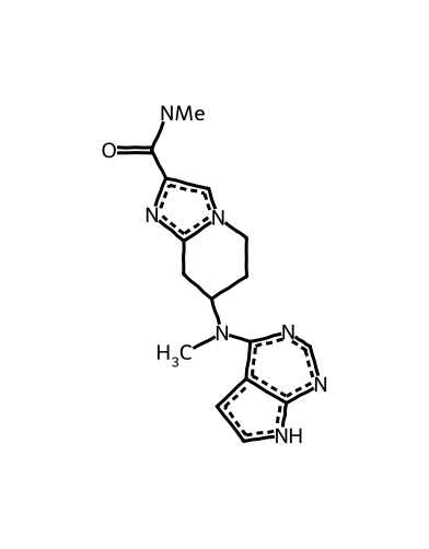 CNC(=O)c1cn2c(n1)CC(N(C)c1ncnc3[nH]ccc13)CC2